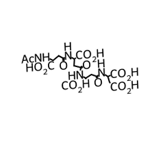 CC(=O)NC(CC(=O)NC(CC(=O)NC(CC(=O)NC(CC(=O)O)C(=O)O)C(=O)O)C(=O)O)C(=O)O